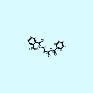 CCCCCc1ccccc1C(=O)OCCC(=O)OC(=O)c1ccccc1